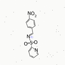 O=[N+]([O-])c1ccc(/C=N/S(=O)(=O)c2ccccn2)cc1